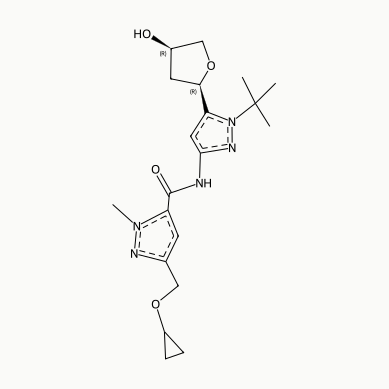 Cn1nc(COC2CC2)cc1C(=O)Nc1cc([C@H]2C[C@@H](O)CO2)n(C(C)(C)C)n1